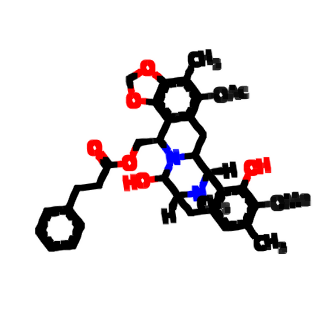 COc1c(C)cc2c(c1O)[C@H]1C3Cc4c(OC(C)=O)c(C)c5c(c4[C@H](COC(=O)CCc4ccccc4)N3C(O)[C@@H](C2)N1C)OCO5